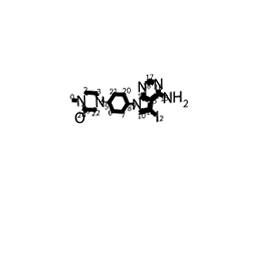 CN1CCN([C@H]2CC[C@H](n3cc(I)c4c(N)ncnc43)CC2)CC1=O